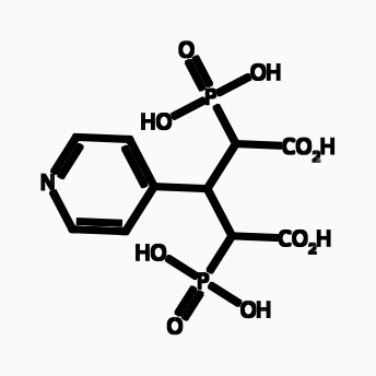 O=C(O)C(C(c1ccncc1)C(C(=O)O)P(=O)(O)O)P(=O)(O)O